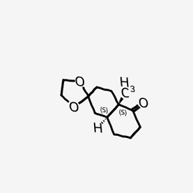 C[C@]12CCC3(C[C@@H]1CCCC2=O)OCCO3